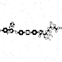 CC[C@@H]([C@H](C)OC(=O)OC(C)OC(=O)C(=O)O)n1ncn(-c2ccc(N3CCN(c4ccc(OC[C@@H]5CO[C@@](Cn6cncn6)(c6ccc(F)cc6F)C5)cc4)CC3)cc2)c1=O